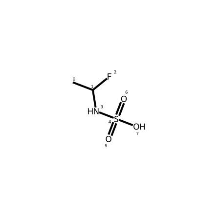 CC(F)NS(=O)(=O)O